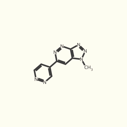 Cn1nnc2nnc(-c3ccnnc3)cc21